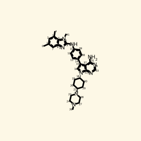 Cc1cc(C)c2c(c1)nc(Nc1ccc(-c3cn([C@H]4CC[C@H](N5CCN(C)CC5)CC4)c4ncnc(N)c34)cc1)n2C